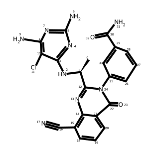 C[C@H](Nc1nc(N)nc(N)c1Cl)c1nc2c(C#N)cccc2c(=O)n1-c1cccc(C(N)=O)c1